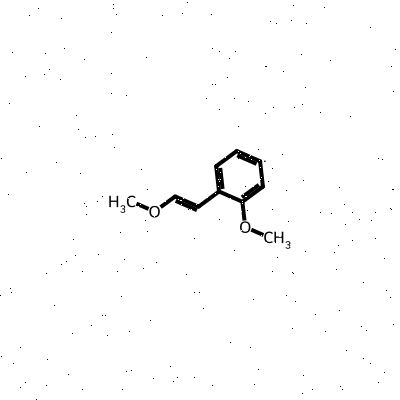 COC=Cc1cc[c]cc1OC